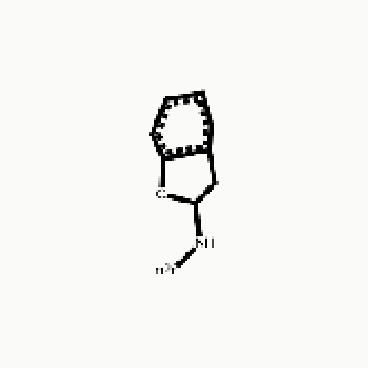 CCCNC1Cc2ccccc2O1